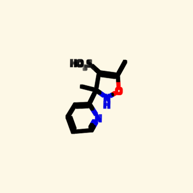 CC1=C(S(=O)(=O)O)C(C)(c2ccccn2)NO1